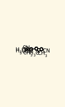 CC1(C)c2cc(C#N)ccc2-c2ccc(-c3ccc(B4OC(C)(C)C(C)(C)O4)nc3)cc21